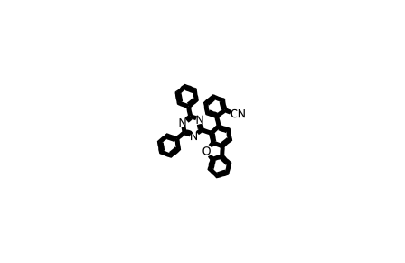 N#Cc1ccccc1-c1ccc2c(oc3ccccc32)c1-c1nc(-c2ccccc2)nc(-c2ccccc2)n1